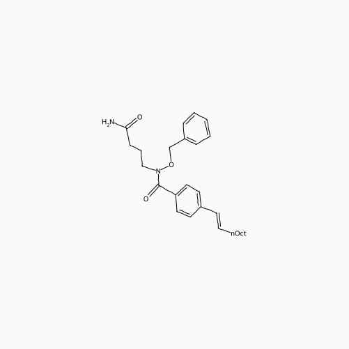 CCCCCCCCC=Cc1ccc(C(=O)N(CCCC(N)=O)OCc2ccccc2)cc1